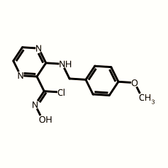 COc1ccc(CNc2nccnc2C(Cl)=NO)cc1